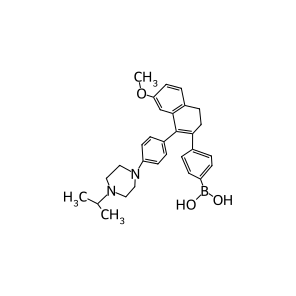 COc1ccc2c(c1)C(c1ccc(N3CCN(C(C)C)CC3)cc1)=C(c1ccc(B(O)O)cc1)CC2